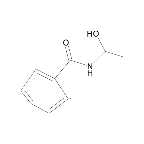 CC(O)NC(=O)c1[c]cccc1